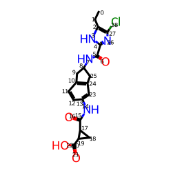 CCc1[nH]c(C(=O)NC2Cc3ccc(NC(=O)C4CC4C(=O)O)cc3C2)nc1Cl